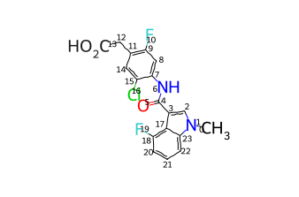 Cn1cc(C(=O)Nc2cc(F)c(CC(=O)O)cc2Cl)c2c(F)cccc21